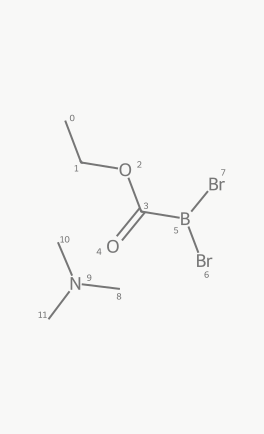 CCOC(=O)B(Br)Br.CN(C)C